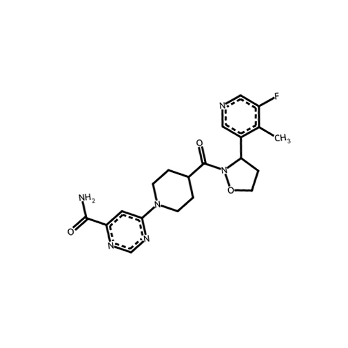 Cc1c(F)cncc1C1CCON1C(=O)C1CCN(c2cc(C(N)=O)ncn2)CC1